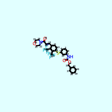 O=C(Nc1cccc(Sc2ccc(/C=C/C(=O)N3CCOCC3)c(C(F)(F)F)c2C(F)(F)F)c1)OCc1ccccc1